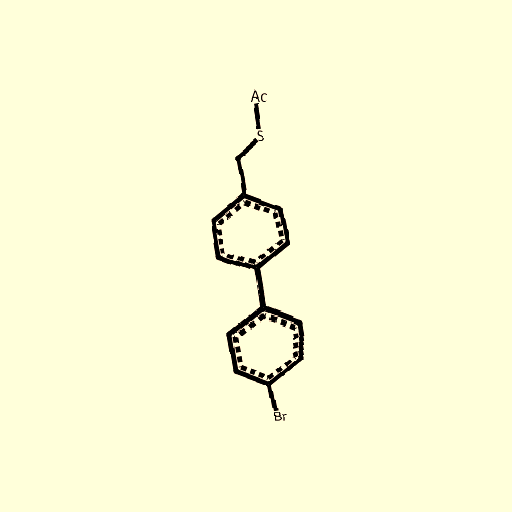 CC(=O)SCc1ccc(-c2ccc(Br)cc2)cc1